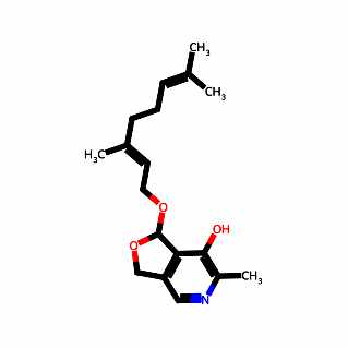 CC(C)=CCC/C(C)=C/COC1OCc2cnc(C)c(O)c21